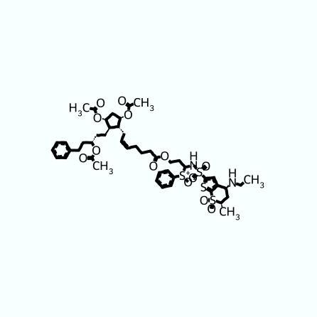 CCN[C@H]1C[C@H](C)S(=O)(=O)c2sc(S(=O)(=O)NC(CCOC(=O)CCC/C=C\C[C@@H]3[C@@H](CC[C@@H](CCc4ccccc4)OC(C)=O)[C@H](OC(C)=O)C[C@@H]3OC(C)=O)[S+]([O-])c3ccccc3)cc21